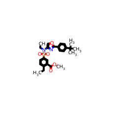 CCc1ccc(S(=O)(=O)N(CC)c2coc(-c3ccc(C(C)(C)C)cc3)n2)cc1C(=O)OC